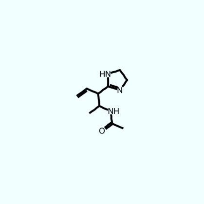 C=CC(C1=NCCN1)C(C)NC(C)=O